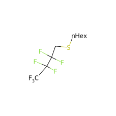 [CH2]CCCCCSCC(F)(F)C(F)(F)C(F)(F)F